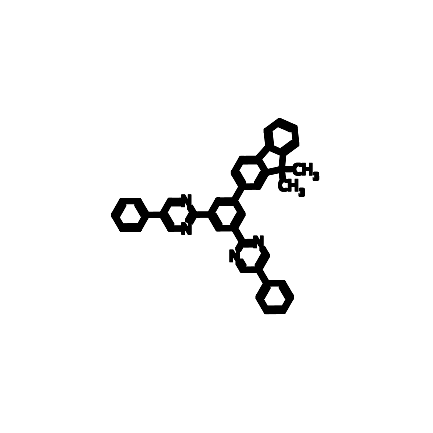 CC1(C)c2ccccc2-c2ccc(-c3cc(-c4ncc(-c5ccccc5)cn4)cc(-c4ncc(-c5ccccc5)cn4)c3)cc21